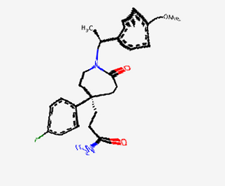 COc1ccc([C@H](C)N2CC[C@](CCC(N)=O)(c3ccc(F)cc3)CC2=O)cc1